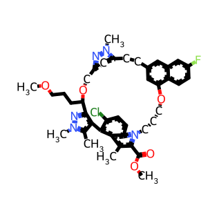 COCCCC1OCc2cc(n(C)n2)CCc2cc(c3ccc(F)cc3c2)OCCCn2c(C(=O)OC)c(C)c3c(c(Cl)ccc32)-c2c1nn(C)c2C